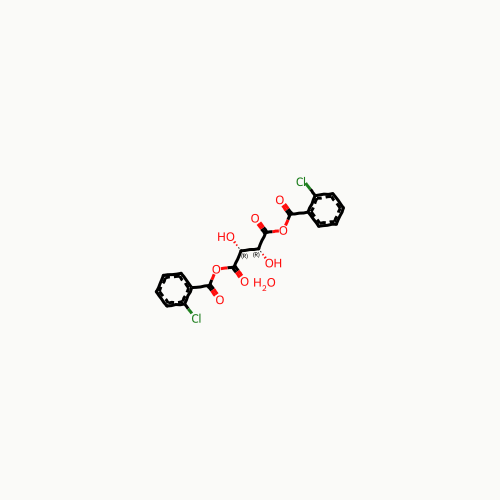 O.O=C(OC(=O)[C@H](O)[C@@H](O)C(=O)OC(=O)c1ccccc1Cl)c1ccccc1Cl